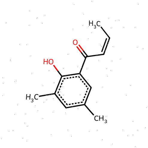 C/C=C\C(=O)c1cc(C)cc(C)c1O